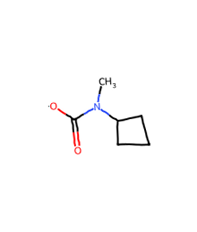 CN(C([O])=O)C1CCC1